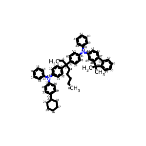 CCCCCC(CC)(c1ccc(N(c2ccccc2)c2ccc(C3CCCCC3)cc2)cc1)c1ccc(N(c2ccccc2)c2ccc3c(c2)C(C)(C)c2ccccc2-3)cc1